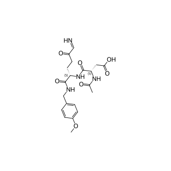 COc1ccc(CNC(=O)[C@H](CCC(=O)C=N)NC(=O)[C@H](CC(=O)O)NC(C)=O)cc1